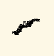 COc1ccc(S(=O)(=O)CNC/C=C/C(=O)N(C)Cc2ccc(C3=NCCN3)cc2)c(C(F)(F)F)c1